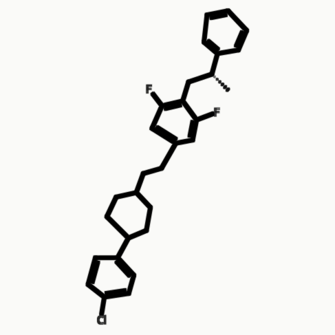 C[C@H](Cc1c(F)cc(CCC2CCC(c3ccc(Cl)cc3)CC2)cc1F)c1ccccc1